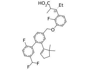 CC[C@H](c1cccc(OCc2ccc(-c3cc(C(F)F)ccc3F)c(C3=CCCC3(C)C)c2)c1F)C(C)C(=O)O